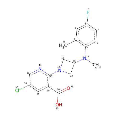 Cc1cc(F)ccc1N(C)C1CN(c2ncc(Cl)cc2C(=O)O)C1